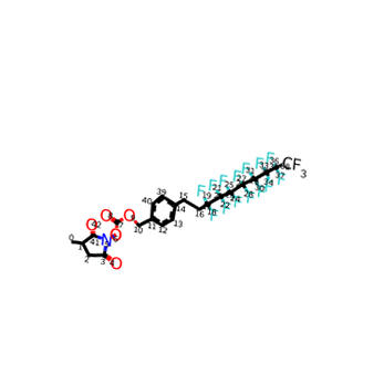 CC1CC(=O)N(OC(=O)OCc2ccc(CCC(F)(F)C(F)(F)C(F)(F)C(F)(F)C(F)(F)C(F)(F)C(F)(F)C(F)(F)F)cc2)C1=O